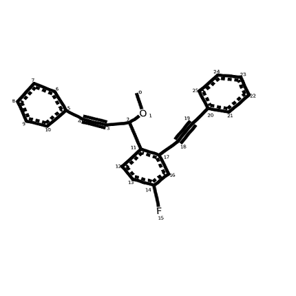 COC(C#Cc1ccccc1)c1ccc(F)cc1C#Cc1ccccc1